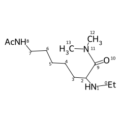 CCNC(CCCCCNC(C)=O)C(=O)N(C)C